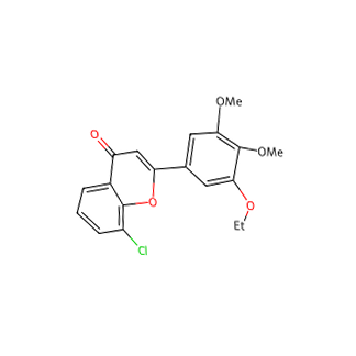 [CH2]COc1cc(-c2cc(=O)c3cccc(Cl)c3o2)cc(OC)c1OC